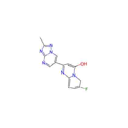 Cc1nc2ncc(C3=NC4=CC=C(F)CN4C(O)=C3)cn2n1